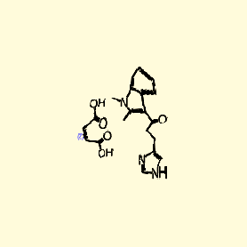 Cc1c(C(=O)CCc2c[nH]cn2)c2ccccc2n1C.O=C(O)/C=C\C(=O)O